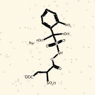 CCCCCCCCC(CCCCCCCC)(c1ccccc1[N+](=O)[O-])S(=O)(=O)NOC(=O)C(CC(=O)[O-])S(=O)(=O)O.[Na+]